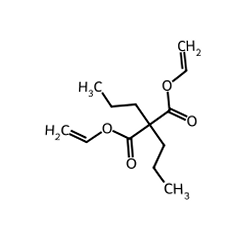 C=COC(=O)C(CCC)(CCC)C(=O)OC=C